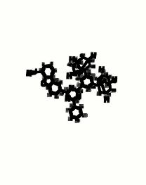 N#Cc1cccc2c1oc1ccc(-c3nc(-c4ccccc4)nc(-c4cc(C56C[C@H]7C[C@@H](C5)C[C@@H](C6)C7)cc(C56C[C@H]7C[C@H](C5)C[C@@H](C6)C7)c4)n3)cc12